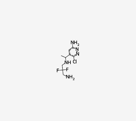 CC(NCC(F)(F)CN)c1cc(N)nnc1Cl